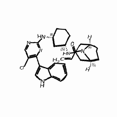 C=CC(=O)N1[C@@H]2CC[C@H]1CC(N[C@H]1CCC[C@@H](Nc3ncc(Cl)c(-c4c[nH]c5ccccc45)n3)C1)C2